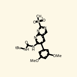 COc1cc(OC)cc(-c2cc3cnc(S(C)(=O)=O)nc3nc2NC(=O)NC(C)(C)C)c1